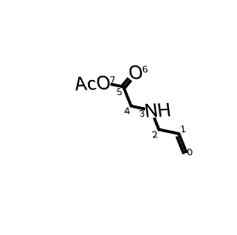 C=CCNCC(=O)OC(C)=O